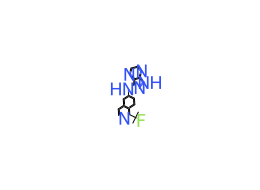 CC(C)(F)c1nccc2cc(Nc3n[nH]c4nccnc34)ccc12